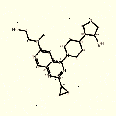 CN(CCO)c1cc2c(N3CCC(C4CCCC4O)CC3)nc(C3CC3)nc2cn1